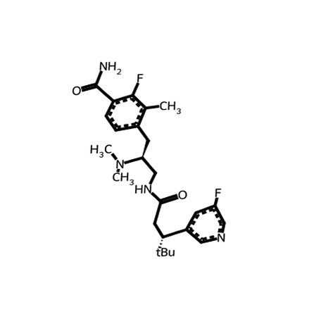 Cc1c(C[C@@H](CNC(=O)C[C@H](c2cncc(F)c2)C(C)(C)C)N(C)C)ccc(C(N)=O)c1F